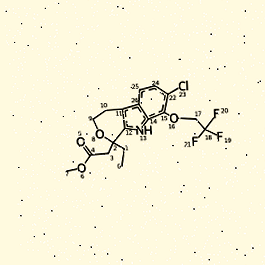 CCC1(CC(=O)OC)OCCc2c1[nH]c1c(OCC(F)(F)F)c(Cl)ccc21